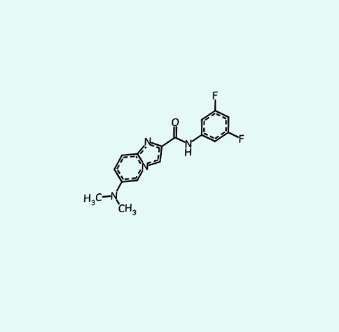 CN(C)c1ccc2nc(C(=O)Nc3cc(F)cc(F)c3)cn2c1